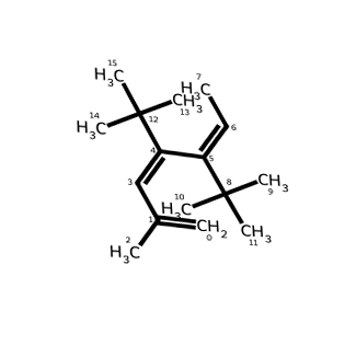 C=C(C)/C=C(\C(=C/C)C(C)(C)C)C(C)(C)C